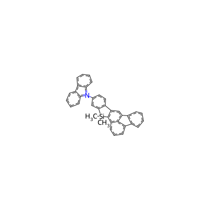 C[Si]1(C)c2cc(-n3c4ccccc4c4ccccc43)ccc2-c2cc3c4c(cccc4c21)-c1ccccc1-3